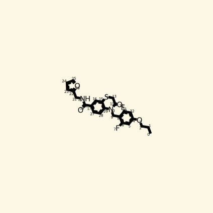 CCCOc1cc(F)c(CN2C(=O)CSc3cc(C(=O)NCc4ccco4)ccc32)c(F)c1